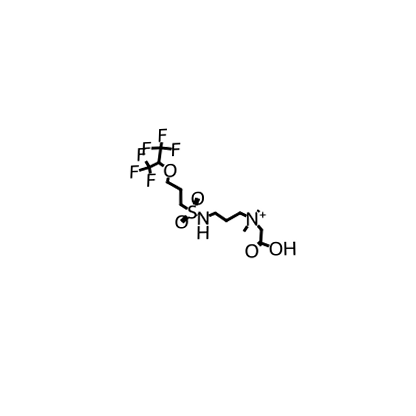 C[N+](C)(CCCNS(=O)(=O)CCCOC(C(F)(F)F)C(F)(F)F)CC(=O)O